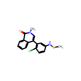 CSNc1ccc(Cl)c(-c2cn(C)c(=O)c3ccccc23)c1